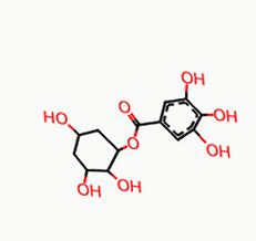 O=C(OC1CC(O)CC(O)C1O)c1cc(O)c(O)c(O)c1